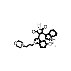 O=C1NC(=O)C(c2cn(CCCN3CCOCC3)c3ccc(C(F)(F)F)cc23)=C1c1c[nH]c2ccccc12